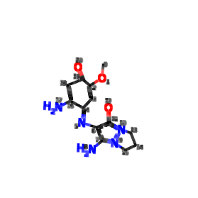 COC1=C/C(=N\c2c(N)n3n(c2=O)CCC3)C(N)=CC1=O